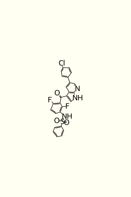 O=C(c1c(F)ccc(NS(=O)(=O)c2ccccc2)c1F)c1c[nH]c2ncc(-c3ccc(Cl)cc3)cc12